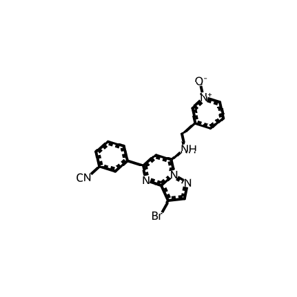 [C-]#[N+]c1cccc(-c2cc(NCc3ccc[n+]([O-])c3)n3ncc(Br)c3n2)c1